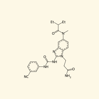 CCC(CC)C(=O)N(C)c1ccc2c(c1)nc(NC(=O)Nc1cccc(C#N)c1)n2CCC(N)=O